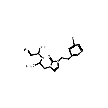 CC(C)CC(NC(Cn1ccn(CCc2cccc(F)c2)c1=O)C(=O)O)C(=O)O